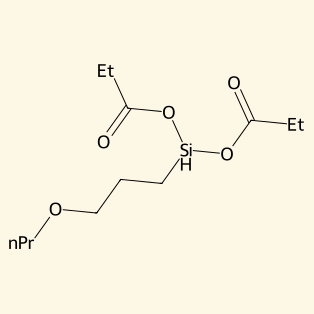 CCCOCCC[SiH](OC(=O)CC)OC(=O)CC